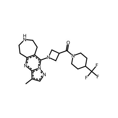 Cc1cnn2c(N3CC(C(=O)N4CCC(C(F)(F)F)CC4)C3)c3c(nc12)CCNCC3